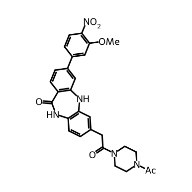 COc1cc(-c2ccc3c(c2)Nc2cc(CC(=O)N4CCN(C(C)=O)CC4)ccc2NC3=O)ccc1[N+](=O)[O-]